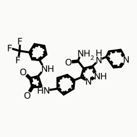 NC(=O)c1c(-c2ccc(Nc3c(Nc4cccc(C(F)(F)F)c4)c(=O)c3=O)cc2)n[nH]c1Nc1ccncc1